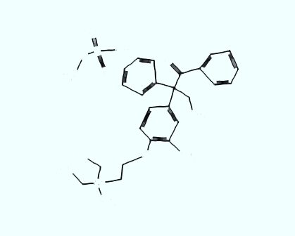 CCC(C(=O)c1ccccc1)(c1ccccc1)c1ccc(OCC[N+](C)(CC)CC)c(C)c1.COS(=O)(=O)O